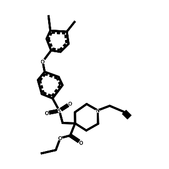 C#CCN1CCC(CS(=O)(=O)c2ccc(Oc3ccc(C)c(C)c3)cc2)(C(=O)OCC)CC1